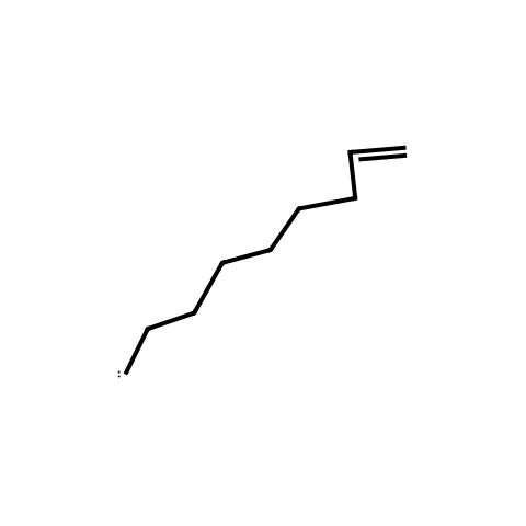 [CH]CCCCCCC=C